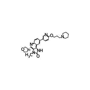 Cn1c(=O)[nH]c2c3cc(-c4ccc(OCCCN5CCCCC5)nc4)ccc3nc([C@@H]3CCOC3)c21